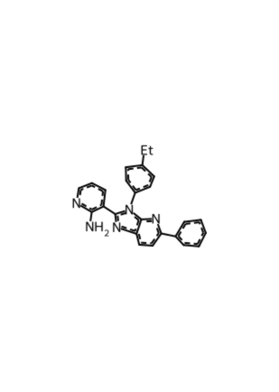 CCc1ccc(-n2c(-c3cccnc3N)nc3ccc(-c4ccccc4)nc32)cc1